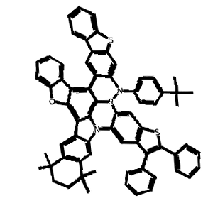 CC(C)(C)c1ccc(N2B3c4cc5sc(-c6ccccc6)c(-c6ccccc6)c5cc4-n4c5cc6c(cc5c5c7oc8ccccc8c7c(c3c54)-c3cc4c(cc32)sc2ccccc24)C(C)(C)CCC6(C)C)cc1